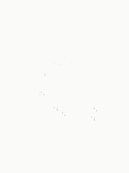 c1cc(-c2ccoc2)c2cc(-c3cc(-c4cn[nH]c4)[nH]n3)[nH]c2c1